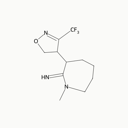 CN1CCCCC(C2CON=C2C(F)(F)F)C1=N